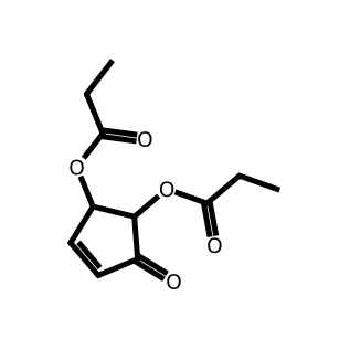 CCC(=O)OC1C=CC(=O)C1OC(=O)CC